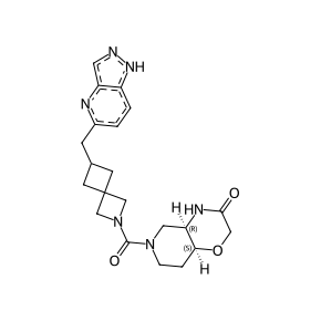 O=C1CO[C@H]2CCN(C(=O)N3CC4(CC(Cc5ccc6[nH]ncc6n5)C4)C3)C[C@H]2N1